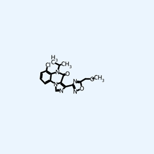 COCc1nc(-c2ncn3c2c(=O)n(C(C)C)c2c(Cl)cccc23)no1